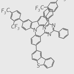 FC(F)(F)c1ccc(-c2ccc3c(c2)c2cc(-c4ccc(C(F)(F)F)cc4C(F)(F)F)ccc2n3-c2ccc(-c3ccc4sc5ccccc5c4c3)cc2-c2nc(-c3ccccc3)nc(-c3ccccc3)n2)c(C(F)(F)F)c1